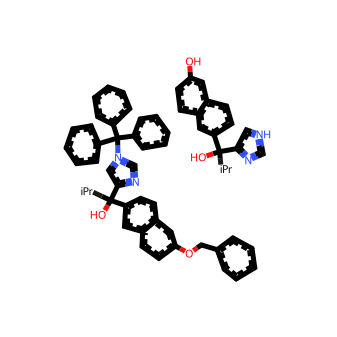 CC(C)C(O)(c1ccc2cc(O)ccc2c1)c1c[nH]cn1.CC(C)C(O)(c1ccc2cc(OCc3ccccc3)ccc2c1)c1cn(C(c2ccccc2)(c2ccccc2)c2ccccc2)cn1